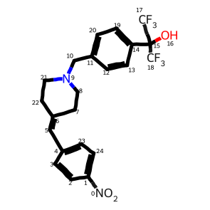 O=[N+]([O-])c1ccc(C=C2CCN(Cc3ccc(C(O)(C(F)(F)F)C(F)(F)F)cc3)CC2)cc1